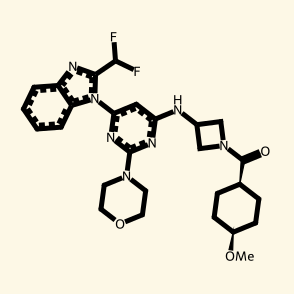 CO[C@H]1CC[C@@H](C(=O)N2CC(Nc3cc(-n4c(C(F)F)nc5ccccc54)nc(N4CCOCC4)n3)C2)CC1